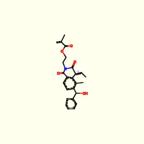 C=C(C)C(=O)OCCN1C(=O)/C(=C/C)c2c(ccc(C(O)c3ccccc3)c2C)C1=O